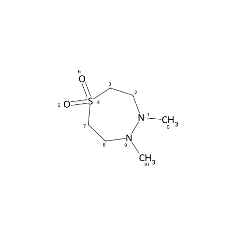 CN1CCS(=O)(=O)CCN1C